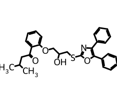 CC(C)CC(=O)c1ccccc1OCC(O)CSc1nc(-c2ccccc2)c(-c2ccccc2)o1